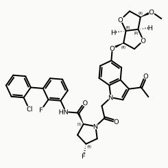 CO[C@@H]1CO[C@H]2[C@@H]1OC[C@H]2Oc1ccc2c(c1)c(C(C)=O)cn2CC(=O)N1C[C@H](F)C[C@H]1C(=O)Nc1cccc(-c2ccccc2Cl)c1F